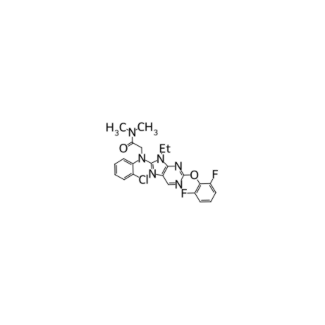 CCn1c(N(CC(=O)N(C)C)c2ccccc2Cl)nc2cnc(Oc3c(F)cccc3F)nc21